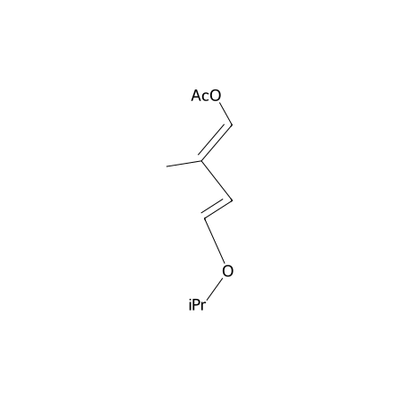 CC(=O)O/C=C(C)/C=C/OC(C)C